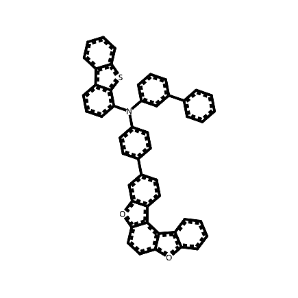 c1ccc(-c2cccc(N(c3ccc(-c4ccc5c(c4)oc4ccc6oc7ccccc7c6c45)cc3)c3cccc4c3sc3ccccc34)c2)cc1